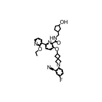 CCOc1ncccc1-c1ccc(OC2CC3(C2)CN(c2ccc(F)cc2C#N)C3)c(C(=O)NCC2CCC(O)C2)n1